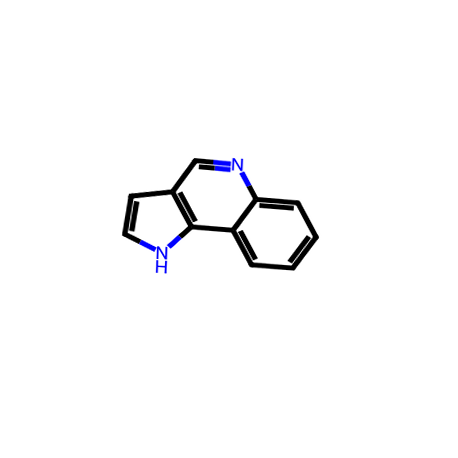 c1ccc2c(c1)ncc1cc[nH]c12